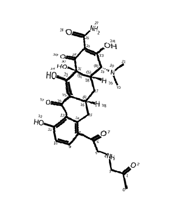 CC(=O)CNCC(=O)c1ccc(O)c2c1C[C@H]1C[C@H]3[C@@H](N(C)C)C(O)=C(C(N)=O)C(=O)[C@@]3(O)C(O)=C1C2=O